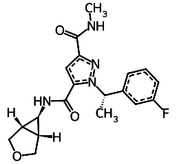 CNC(=O)c1cc(C(=O)N[C@H]2[C@@H]3COC[C@@H]32)n([C@@H](C)c2cccc(F)c2)n1